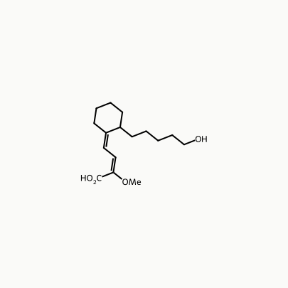 CO/C(=C/C=C1/CCCCC1CCCCCO)C(=O)O